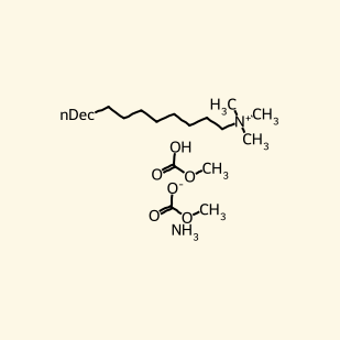 CCCCCCCCCCCCCCCCCC[N+](C)(C)C.COC(=O)O.COC(=O)[O-].N